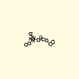 c1ccc(-c2nc(-c3ccc4ccccc4c3)nc(-c3ccc4c(c3)oc3cc5ccc(-c6cccc7ccccc67)cc5cc34)n2)cc1